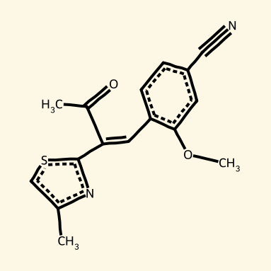 COc1cc(C#N)ccc1/C=C(\C(C)=O)c1nc(C)cs1